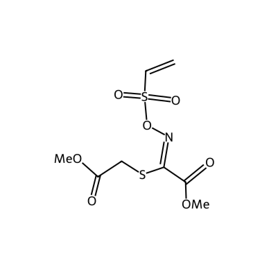 C=CS(=O)(=O)O/N=C(\SCC(=O)OC)C(=O)OC